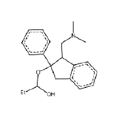 CCC(O)OC1(c2ccccc2)Cc2ccccc2C1CN(C)C